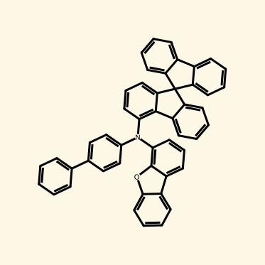 c1ccc(-c2ccc(N(c3cccc4c3-c3ccccc3C43c4ccccc4-c4ccccc43)c3cccc4c3oc3ccccc34)cc2)cc1